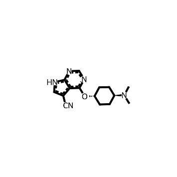 CN(C)[C@H]1CC[C@H](Oc2ncnc3[nH]cc(C#N)c23)CC1